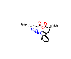 CN[C@@H](Cc1c[nH]c2ccccc12)C(=O)OC(=O)[C@H](N)CCSC